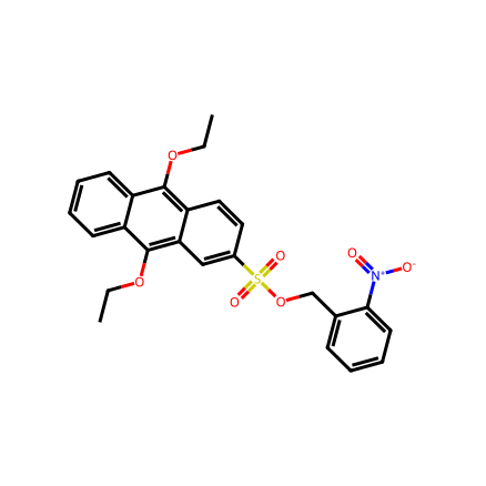 CCOc1c2ccccc2c(OCC)c2cc(S(=O)(=O)OCc3ccccc3[N+](=O)[O-])ccc12